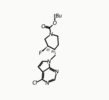 CC(C)(C)OC(=O)N1CC[C@H](Cn2ccc3c(Cl)ncnc32)[C@@H](F)C1